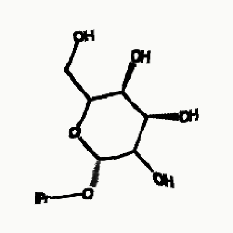 CC(C)O[C@@H]1OC(CO)[C@@H](O)[C@@H](O)C1O